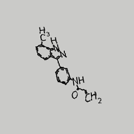 C=CC(=O)Nc1cccc(-c2n[nH]c3c(C)cccc23)c1